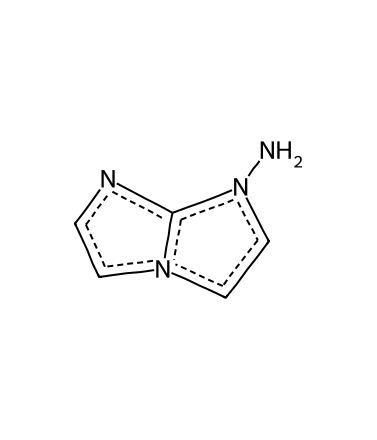 Nn1ccn2ccnc12